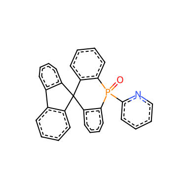 O=P1(c2ccccn2)c2ccccc2C2(c3ccccc3-c3ccccc32)c2ccccc21